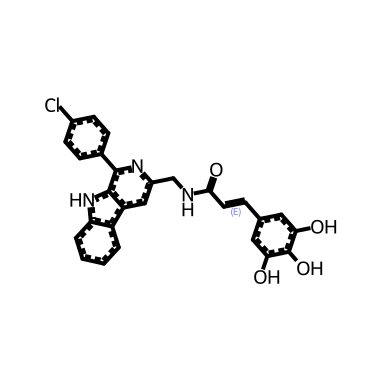 O=C(/C=C/c1cc(O)c(O)c(O)c1)NCc1cc2c([nH]c3ccccc32)c(-c2ccc(Cl)cc2)n1